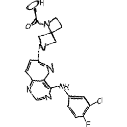 O=C(O)N1CCC12CN(c1ccc3ncnc(Nc4ccc(F)c(Cl)c4)c3n1)C2